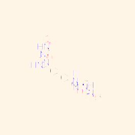 CC(C)(C)OC(=O)N[C@H](C(=O)N1CC=C[C@H]1c1ncc(-c2ccc(-c3ccc(-c4c[nH]c([C@@H]5CCCN5C(=O)[C@@H](NC(=O)OC(C)(C)C)C(C)(C)C)n4)cc3)cc2)[nH]1)C(C)(C)C